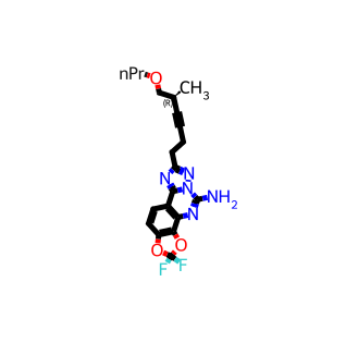 CCCOC[C@H](C)C#CCCc1nc2c3ccc4c(c3nc(N)n2n1)OC(F)(F)O4